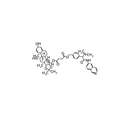 CN(C)C(C(=O)Nc1ccc2cnccc2c1)c1ccc(COC(=O)CCC(=O)OCC(=O)[C@@]23OC(C)(C)O[C@@H]2C[C@H]2[C@@H]4CCC5=CC(O)C=C[C@]5(C)[C@@]4(F)[C@@H](O)C[C@@]23C)cc1